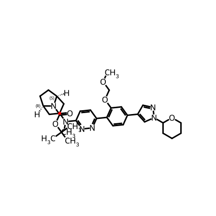 COCOc1cc(-c2cnn(C3CCCCO3)c2)ccc1-c1ccc(N(C)C2C[C@H]3CC[C@@H](C2)N3C(=O)OC(C)(C)C)nn1